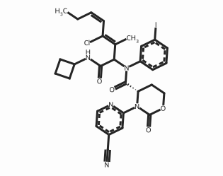 CC/C=C\C(Cl)=C(/C)C(C(=O)NC1CCC1)N(C(=O)[C@@H]1CCOC(=O)N1c1cc(C#N)ccn1)c1cccc(I)c1